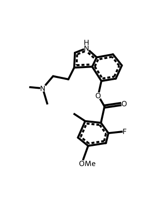 COc1cc(C)c(C(=O)Oc2cccc3[nH]cc(CCN(C)C)c23)c(F)c1